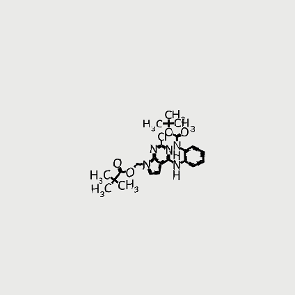 CC(C)(C)OC(=O)Nc1ccccc1Nc1nc(Cl)nc2c1ccn2COC(=O)C(C)(C)C